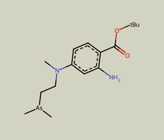 CN(CC[As](C)C)c1ccc(C(=O)OC(C)(C)C)c(N)c1